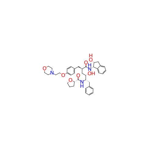 O=C(N[C@H]1c2ccccc2C[C@H]1O)[C@H](Cc1ccc(OCCN2CCOCC2)cc1)C[C@H](O)[C@H](Cc1ccccc1)NC(=O)[C@@H]1CCCO1